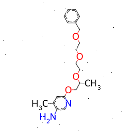 Cc1cc(OCC(C)OCCOCCOCc2ccccc2)ncc1N